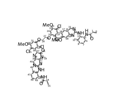 C=CC(=O)Nc1cccc(C)c1Nc1ncc2cc(-c3c(Cl)c(OC)cc(OCCOc4cc(OC)c(Cl)c(-c5nc6cnc(Nc7c(C)cccc7NC(=O)C=C)nc6n(C)c5=O)c4Cl)c3Cl)c(OC)cc2n1